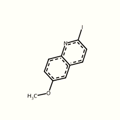 COc1ccc2nc(I)ccc2c1